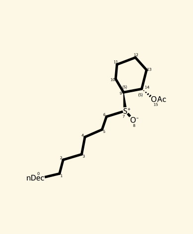 CCCCCCCCCCCCCCCC[S+]([O-])[C@H]1CCCC[C@@H]1OC(C)=O